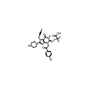 CC#CCn1c(N2CCNCC2)nc2c1c(=O)n(C)c(=O)n2CC(=O)c1ccc(Cl)cc1.O=C(O)C(F)(F)F